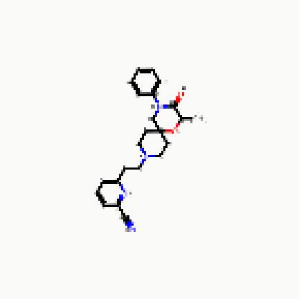 CC1OC2(CCN(CCc3cccc(C#N)n3)CC2)CN(c2ccccc2)C1=O